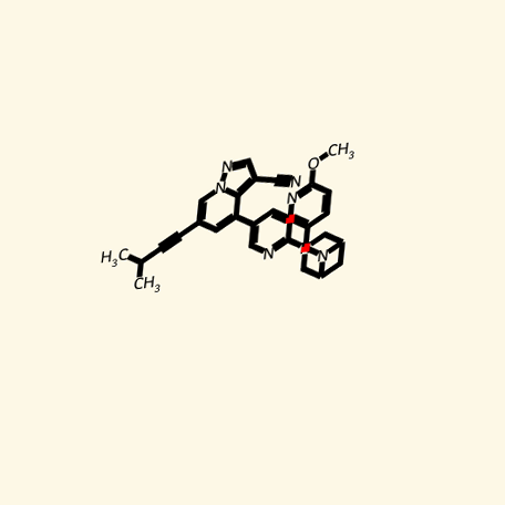 COc1ccc(CN2C3CC2CN(c2ccc(-c4cc(C#CC(C)C)cn5ncc(C#N)c45)cn2)C3)cn1